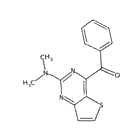 CN(C)c1nc(C(=O)c2ccccc2)c2sccc2n1